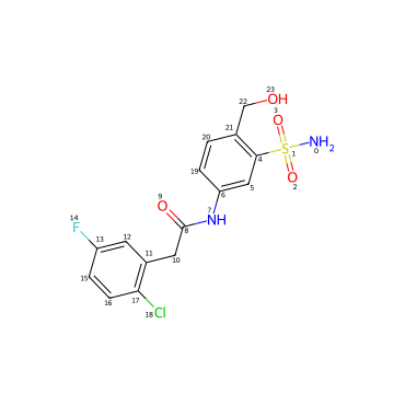 NS(=O)(=O)c1cc(NC(=O)Cc2cc(F)ccc2Cl)ccc1CO